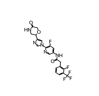 O=C1COC(c2cn(-c3ncc(NC(=O)Cc4cccc(C(F)(F)F)c4F)cc3F)cn2)CN1